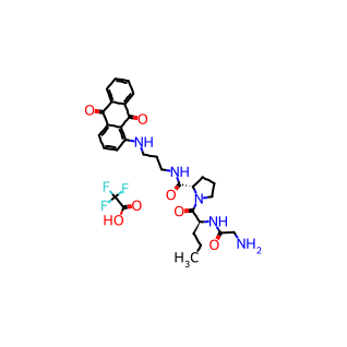 CCC[C@H](NC(=O)CN)C(=O)N1CCC[C@H]1C(=O)NCCCNc1cccc2c1C(=O)c1ccccc1C2=O.O=C(O)C(F)(F)F